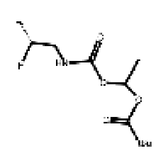 [CH2][C@@H](F)CNC(=O)OC(C)OC(=O)C(C)(C)C